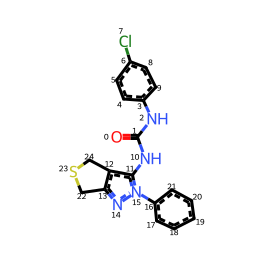 O=C(Nc1ccc(Cl)cc1)Nc1c2c(nn1-c1ccccc1)CSC2